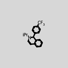 CC(C)N1C=Cc2ccccc2C1c1ccc(C(F)(F)F)cc1